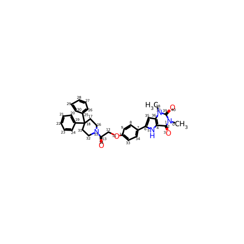 Cn1c(=O)c2[nH]c(-c3ccc(OCC(=O)N4CCC(c5ccccc5)(c5ccccc5)CC4)cc3)cc2n(C)c1=O